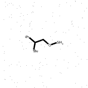 C[C](C)C(CO[SiH3])C(C)(C)C